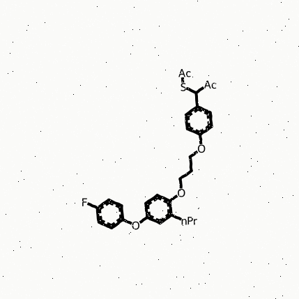 CCCc1cc(Oc2ccc(F)cc2)ccc1OCCCOc1ccc(C(SC(C)=O)C(C)=O)cc1